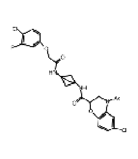 CC(=O)N1CC(C(=O)NC23CC(NC(=O)COc4ccc(Cl)c(F)c4)(C2)C3)Oc2ccc(Cl)cc21